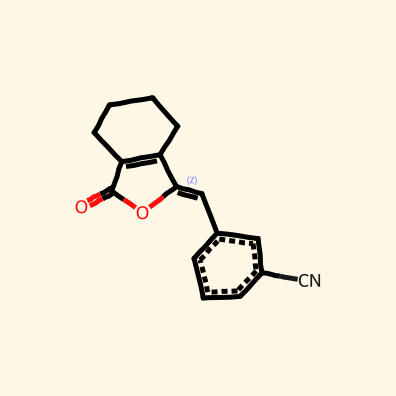 N#Cc1cccc(/C=C2\OC(=O)C3=C2CCCC3)c1